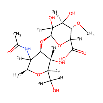 [2H]C1(C(=O)O)O[C@@H](O[C@@H]2C([2H])(NC(C)=O)[C@H](C)OC([2H])(C([2H])([2H])O)[C@@]2([2H])O)C([2H])(O)[C@@]([2H])(O)[C@@H]1OC